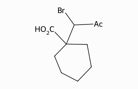 CC(=O)C(Br)C1(C(=O)O)CCCCC1